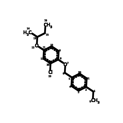 CCc1ccc(COc2ccc(OC(C)CC)cc2Cl)cc1